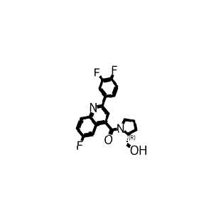 O=C(c1cc(-c2ccc(F)c(F)c2)nc2ccc(F)cc12)N1CCC[C@@H]1CO